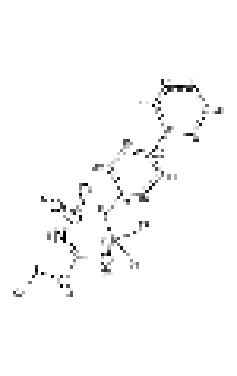 CCOC1=NS(=O)(=O)C(c2ccc(-c3ccccc3)cc2)C(C)(C)O1